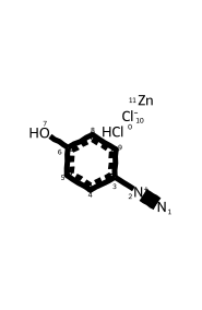 Cl.N#[N+]c1ccc(O)cc1.[Cl-].[Zn]